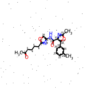 CC(=O)CCCCc1nc(NC(=O)c2nc(C)oc2-c2cccc(C)c2)co1